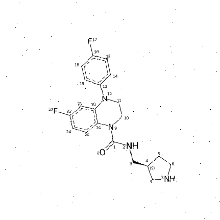 O=C(NC[C@H]1CCNC1)N1CCN(c2ccc(F)cc2)c2cc(F)ccc21